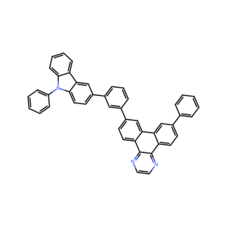 c1ccc(-c2ccc3c(c2)c2cc(-c4cccc(-c5ccc6c(c5)c5ccccc5n6-c5ccccc5)c4)ccc2c2nccnc32)cc1